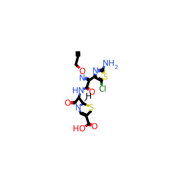 C#CCON=C(C(=O)NC1C(=O)N2C=C(C(=O)O)CS[C@H]12)c1nc(N)sc1Cl